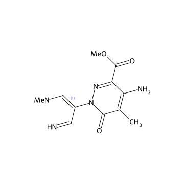 CN/C=C(\C=N)n1nc(C(=O)OC)c(N)c(C)c1=O